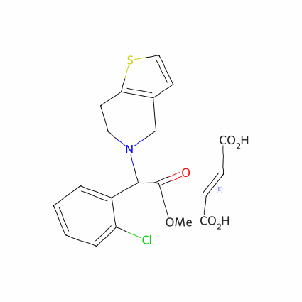 COC(=O)C(c1ccccc1Cl)N1CCc2sccc2C1.O=C(O)/C=C/C(=O)O